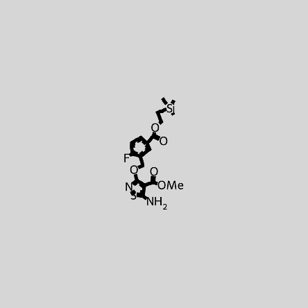 COC(=O)c1c(OCc2cc(C(=O)OCC[Si](C)(C)C)ccc2F)nsc1N